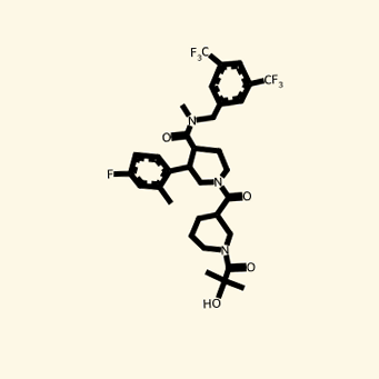 Cc1cc(F)ccc1C1CN(C(=O)C2CCCN(C(=O)C(C)(C)O)C2)CCC1C(=O)N(C)Cc1cc(C(F)(F)F)cc(C(F)(F)F)c1